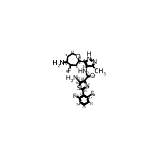 Cc1n[nH]c(C2CC(F)C(N)CCO2)c1NC(=O)c1nc(-c2c(F)cccc2F)sc1N